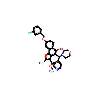 COC(=O)c1c(C)oc2c1c(C(c1ccncc1)N1CCOCC1)c(O)c1ccc(OCc3cccc(F)c3)cc12